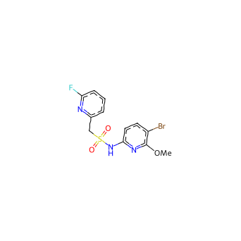 COc1nc(NS(=O)(=O)Cc2cccc(F)n2)ccc1Br